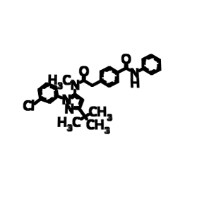 CN(C(=O)Cc1ccc(C(=O)Nc2ccccc2)cc1)c1cc(C(C)(C)C)nn1-c1cccc(Cl)c1